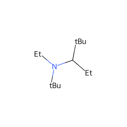 CCC(N(CC)C(C)(C)C)C(C)(C)C